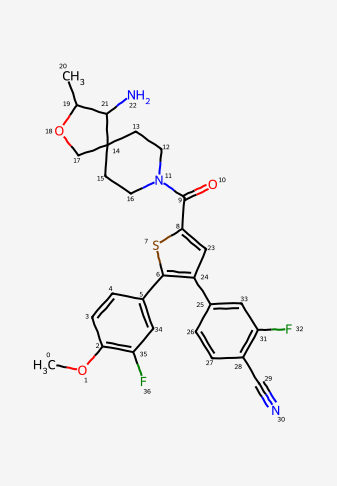 COc1ccc(-c2sc(C(=O)N3CCC4(CC3)COC(C)C4N)cc2-c2ccc(C#N)c(F)c2)cc1F